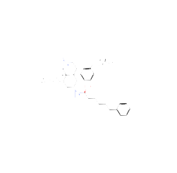 COc1cccc([C@@]23CCN(C)C[C@H]2C(OC(C)=O)C[C@@H](N(C)C(=O)CCCCCc2ccccc2)C3)c1